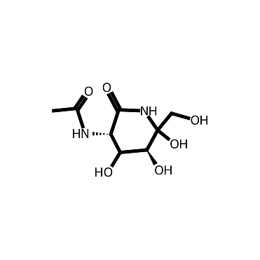 CC(=O)N[C@@H]1C(=O)NC(O)(CO)[C@@H](O)C1O